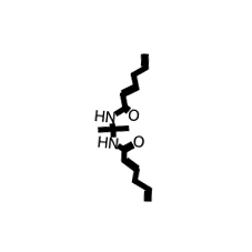 C=CCC=CC(=O)NC(C)(C)NC(=O)C=CCC=C